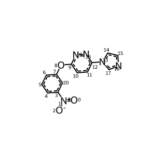 O=[N+]([O-])c1cccc(Oc2ccc(-n3ccnc3)nn2)c1